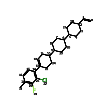 C=CC1CCC(C2CCC(C3CC=C(c4ccc(C)c(F)c4Cl)CC3)CC2)CC1